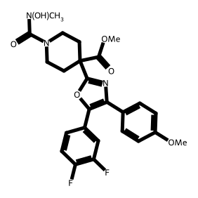 COC(=O)C1(c2nc(-c3ccc(OC)cc3)c(-c3ccc(F)c(F)c3)o2)CCN(C(=O)N(C)O)CC1